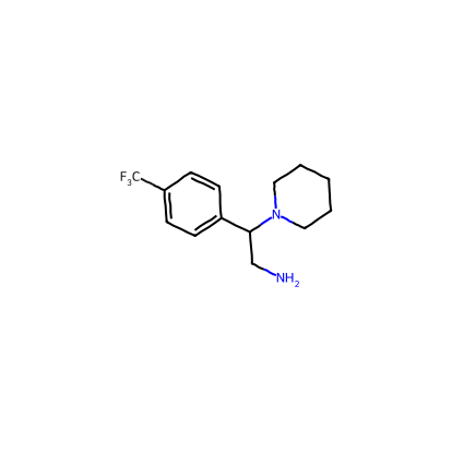 NCC(c1ccc(C(F)(F)F)cc1)N1CCCCC1